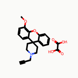 C#CCN1CCC2(CC1)c1ccccc1Oc1c(OC)cccc12.O=C(O)C(=O)O